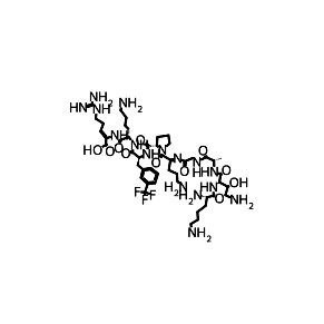 C[C@H](NC(=O)[C@@H](NC(=O)[C@@H](N)CCCCN)[C@@H](O)CN)C(=O)NCC(=O)/N=C(\CCCN)C(=O)N1CCC[C@H]1C(=O)N[C@@H](Cc1cccc(C(F)(F)F)c1)C(=O)N[C@@H](CCCCN)C(=O)N/C(=C\CCNC(=N)N)C(=O)O